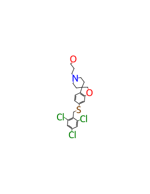 O=CCCN1CCC2(CC1)COc1cc(SCc3c(Cl)cc(Cl)cc3Cl)ccc12